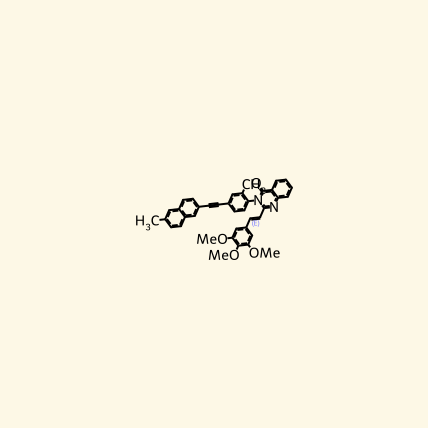 COc1cc(/C=C/c2nc3ccccc3c(=O)n2-c2ccc(C#Cc3ccc4cc(C)ccc4c3)cc2C)cc(OC)c1OC